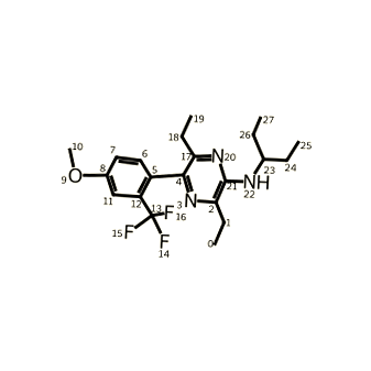 CCc1nc(-c2ccc(OC)cc2C(F)(F)F)c(CC)nc1NC(CC)CC